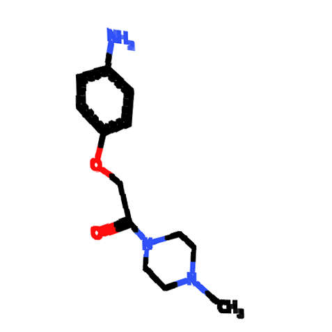 CN1CCN(C(=O)COc2ccc(N)cc2)CC1